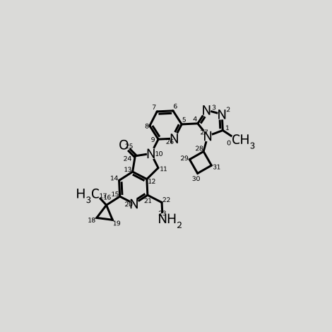 Cc1nnc(-c2cccc(N3Cc4c(cc(C5(C)CC5)nc4CN)C3=O)n2)n1C1CCC1